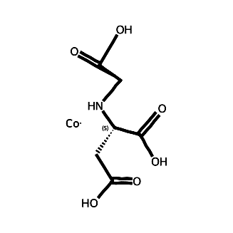 O=C(O)CN[C@@H](CC(=O)O)C(=O)O.[Co]